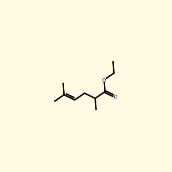 CCOC(=O)C(C)CC=C(C)C